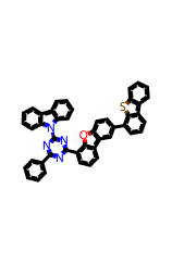 c1ccc(-c2nc(-c3cccc4c3oc3ccc(-c5cccc6c5sc5ccccc56)cc34)nc(-n3c4ccccc4c4ccccc43)n2)cc1